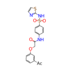 CC(=O)c1cccc(OCC(=O)Nc2ccc(S(=O)(=O)Nc3nccs3)cc2)c1